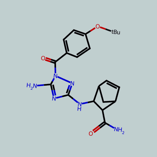 CC(C)(C)Oc1ccc(C(=O)n2nc(NC3C4C=CC(C4)C3C(N)=O)nc2N)cc1